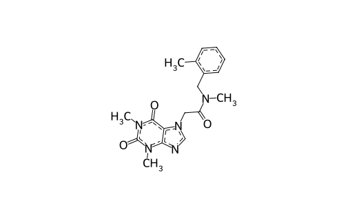 Cc1ccccc1CN(C)C(=O)Cn1cnc2c1c(=O)n(C)c(=O)n2C